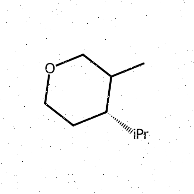 CC(C)[C@@H]1CCOCC1C